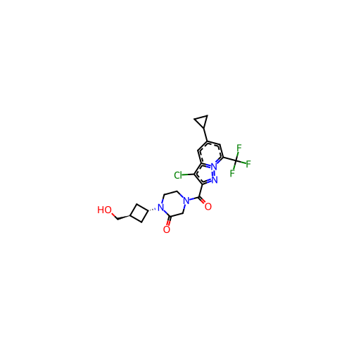 O=C(c1nn2c(C(F)(F)F)cc(C3CC3)cc2c1Cl)N1CCN([C@H]2C[C@H](CO)C2)C(=O)C1